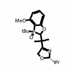 COc1cccc2c1P(=O)(C(C)(C)C)C(C(C)(C)C1=N[C@H](C(C)C)OC1)O2